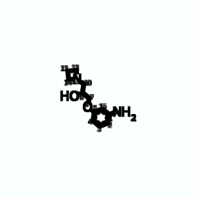 Nc1cccc(OC[C@H](O)CN2CCC2)c1